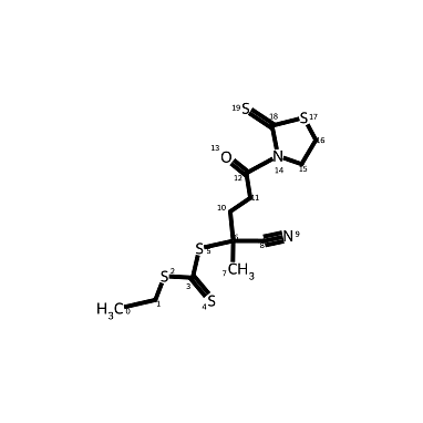 CCSC(=S)SC(C)(C#N)CCC(=O)N1CCSC1=S